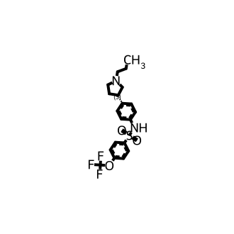 CCCN1CC[C@@H](c2ccc(NS(=O)(=O)c3ccc(OC(F)(F)F)cc3)cc2)C1